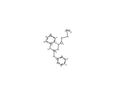 PCCOCCN(Cc1ccccc1)Cc1ccccc1